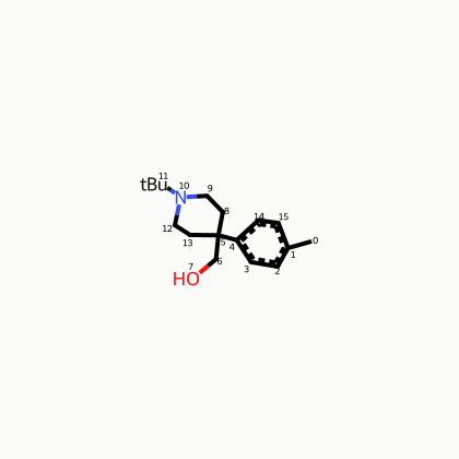 Cc1ccc(C2(CO)CCN(C(C)(C)C)CC2)cc1